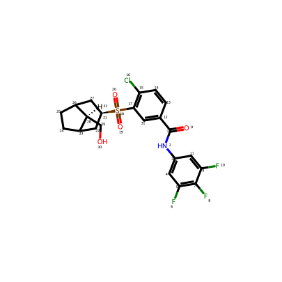 O=C(Nc1cc(F)c(F)c(F)c1)c1ccc(Cl)c(S(=O)(=O)[C@H]2CC3CCC(C2)[C@H]3CO)c1